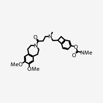 CNC(=O)Oc1ccc2c(c1)CC2CN(C)CCC(=O)N1CCc2cc(OC)c(OC)cc2CC1